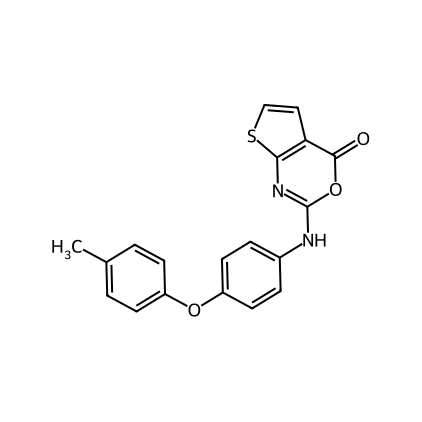 Cc1ccc(Oc2ccc(Nc3nc4sccc4c(=O)o3)cc2)cc1